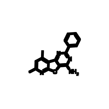 Cc1cc(C)c2c(n1)oc1c(N)nc(-c3ccccc3)nc12